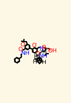 COc1c(CN2O[C@@H](CO)[C@H](C(C)C)[C@H]2C(=O)N[C@H]2C[C@H]3C[C@@H]([C@@H]2C)C3(C)C)cccc1-c1cc2c(c(C(=O)NCCc3ccccc3)c1)OC(C)(C)C2